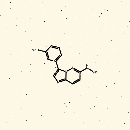 CCCNc1ccc2ncc(-c3cccc(OC)c3)n2n1